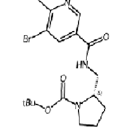 Cc1ncc(C(=O)NC[C@@H]2CCCN2C(=O)OC(C)(C)C)cc1Br